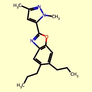 CCCc1cc2nc(-c3cc(C)nn3C)oc2cc1CCC